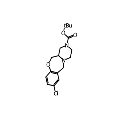 CC(C)(C)OC(=O)N1CCN2Cc3cc(Cl)ccc3OCC2C1